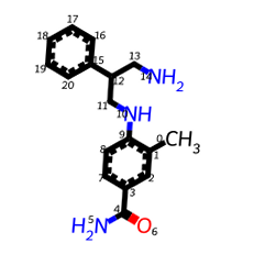 Cc1cc(C(N)=O)ccc1NCC(CN)c1ccccc1